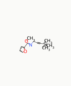 COC(=NCC#C[Si](C)(C)C)c1ccco1